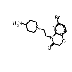 NC1CCN(CCN2C(=O)COc3ccc(Br)nc32)CC1